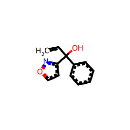 C=CC(O)(c1ccccc1)c1ccon1